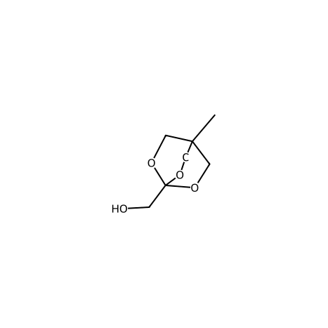 CC12COC(CO)(OC1)OC2